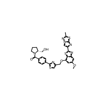 COc1cc(OCc2csc(-c3ccc(C(=O)N4CCC[C@@H]4CO)cc3)n2)c2sc(-c3cn4nc(C)sc4n3)nc2c1